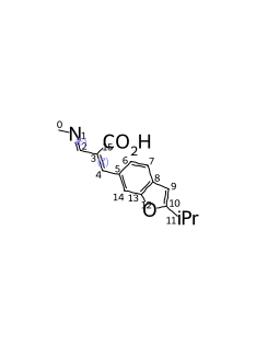 C/N=C/C(=C/c1ccc2cc(C(C)C)oc2c1)C(=O)O